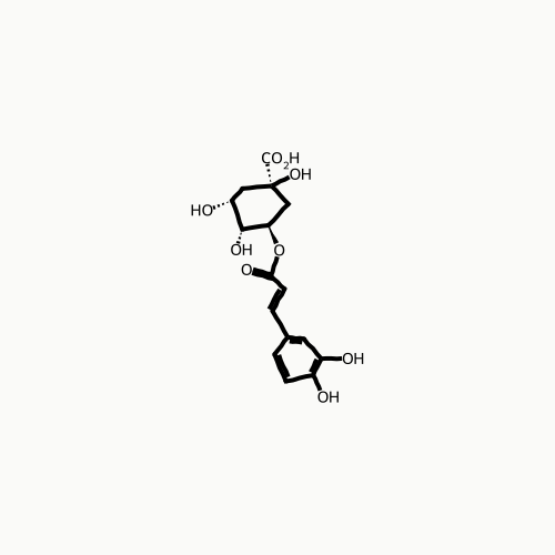 O=C(/C=C/c1ccc(O)c(O)c1)O[C@@H]1C[C@@](O)(C(=O)O)C[C@@H](O)[C@H]1O